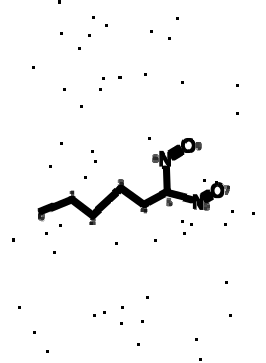 CCCCCC(N=O)N=O